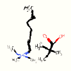 CC(C)(C)C(=O)O.CCCCCC[N+](C)(C)C